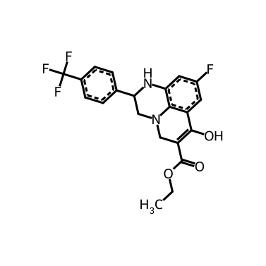 CCOC(=O)C1=C(O)c2cc(F)cc3c2N(C1)CC(c1ccc(C(F)(F)F)cc1)N3